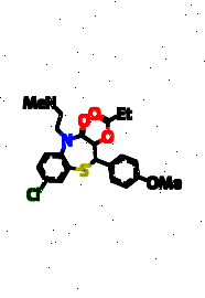 CCC(=O)OC1C(=O)N(CCNC)c2ccc(Cl)cc2SC1c1ccc(OC)cc1